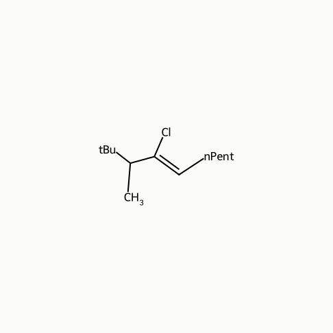 CCCCCC=C(Cl)C(C)C(C)(C)C